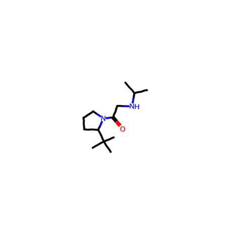 CC(C)NCC(=O)N1CCCC1C(C)(C)C